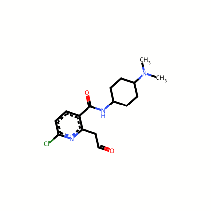 CN(C)C1CCC(NC(=O)c2ccc(Cl)nc2CC=O)CC1